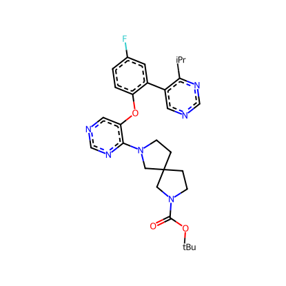 CC(C)c1ncncc1-c1cc(F)ccc1Oc1cncnc1N1CCC2(CCN(C(=O)OC(C)(C)C)C2)C1